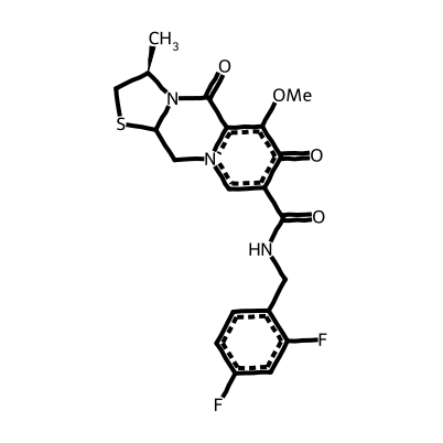 COc1c2n(cc(C(=O)NCc3ccc(F)cc3F)c1=O)CC1SC[C@@H](C)N1C2=O